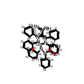 N=NC(=S)N(c1ccccc1)[N](c1ccccc1)[Ga]([N](c1ccccc1)N(C(=S)N=N)c1ccccc1)[N](c1ccccc1)N(C(=S)N=N)c1ccccc1